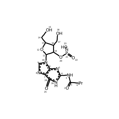 CC(C)C(=O)Nc1nc2c(ncn2C2OC(CO)C(CO)C2O[PH](=O)O)c(=O)[nH]1